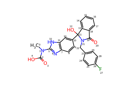 CN(C(=O)O)c1nc2ccc(C3(O)c4ccccc4C(=O)N3Cc3ccc(F)cc3)cc2[nH]1